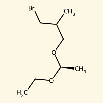 CCO[C@H](C)OCC(C)CBr